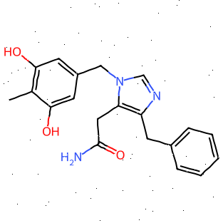 Cc1c(O)cc(Cn2cnc(Cc3ccccc3)c2CC(N)=O)cc1O